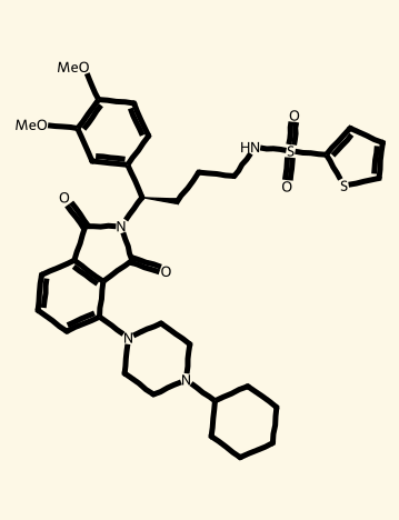 COc1ccc([C@@H](CCCNS(=O)(=O)c2cccs2)N2C(=O)c3cccc(N4CCN(C5CCCCC5)CC4)c3C2=O)cc1OC